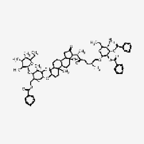 CCC1O[C@@H](O[C@H]2C(COC(=O)c3ccccc3)O[C@@H](OC3CCC4(C)C(CCC5C4CCC4(C)C5CC(=O)C4[C@H](C)C(=O)CC[C@H](C)CO[C@@H]4OC(CC)[C@@H](C)[C@H](OC(=O)c5ccccc5)C4OC(=O)c4ccccc4)C3)C(C)[C@H]2C)C(C)[C@@H](C)[C@@H]1C